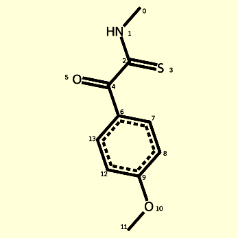 CNC(=S)C(=O)c1ccc(OC)cc1